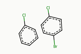 Clc1ccc(Br)cc1.Clc1ccccc1